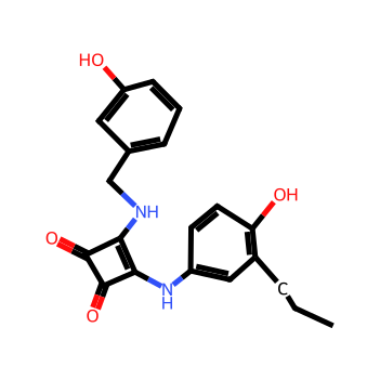 CCCc1cc(Nc2c(NCc3cccc(O)c3)c(=O)c2=O)ccc1O